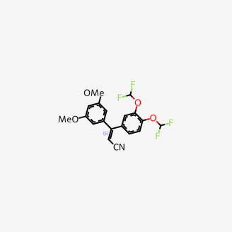 COc1cc(OC)cc(/C(=C/C#N)c2ccc(OC(F)F)c(OC(F)F)c2)c1